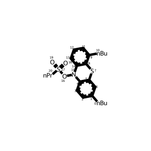 CCCCc1ccc2c(c1)Sc1c(CCCC)cccc1N2OS(=O)(=O)CCC